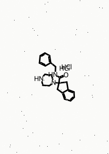 Cl.Cl.O=C(NCc1ccccc1)C1(N2CCNCC2)Cc2ccccc2C1